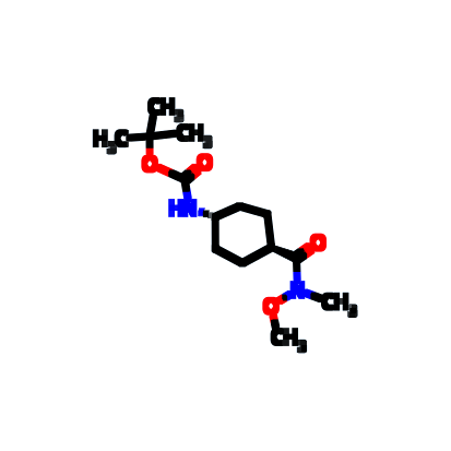 CON(C)C(=O)[C@H]1CC[C@H](NC(=O)OC(C)(C)C)CC1